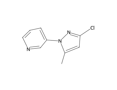 Cc1cc(Cl)nn1-c1cccnc1